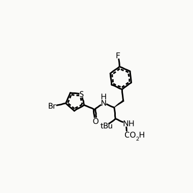 CC(C)(C)C(NC(=O)O)[C@H](Cc1ccc(F)cc1)NC(=O)c1cc(Br)cs1